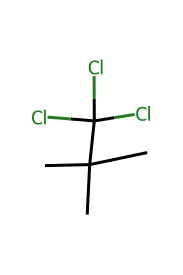 CC(C)(C)C(Cl)(Cl)Cl